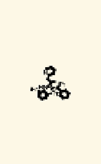 CC(C)c1cccc(C(C)C)c1[NH][Zr]([O]C(c1ccccc1)C(C)C)[CH](C)Cc1ccccn1